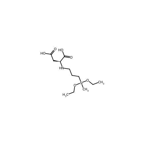 CCO[Si](C)(CCCN[C@@H](CC(=O)O)C(=O)O)OCC